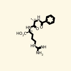 C[C@H](NC(=O)c1ccccc1)C(=O)N[C@@H](CCCNC(=N)N)C(=O)O